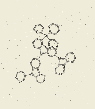 c1ccc(-n2c3ccccc3c3cc(-n4c5cc(-n6c7ccccc7c7ccccc76)ccc5c5c([Si](c6ccccc6)(c6ccccc6)c6ccccc6)cccc54)ccc32)cc1